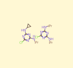 CC(C)Nc1nc(Cl)nc(NC(C)C)n1.CC(C)Nc1nc(Cl)nc(NC2CC2)n1